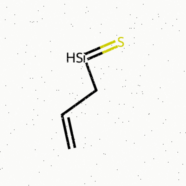 C=CC[SiH]=S